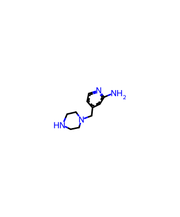 Nc1cc(CN2CCNCC2)ccn1